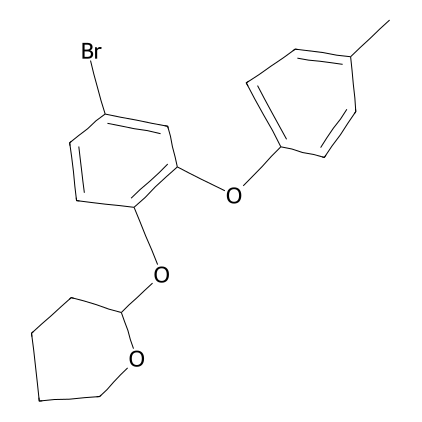 Cc1ccc(Oc2cc(Br)ccc2OC2CCCCO2)cc1